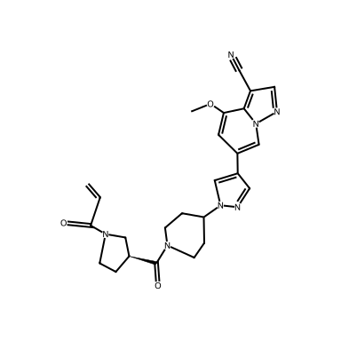 C=CC(=O)N1CC[C@H](C(=O)N2CCC(n3cc(-c4cc(OC)c5c(C#N)cnn5c4)cn3)CC2)C1